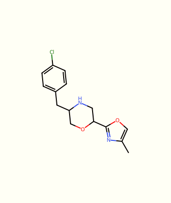 Cc1coc(C2CNC(Cc3ccc(Cl)cc3)CO2)n1